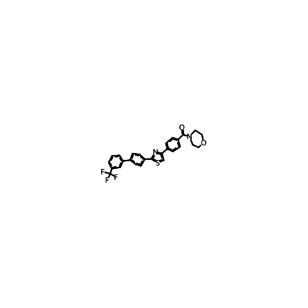 O=C(c1ccc(-c2csc(-c3ccc(-c4cccc(C(F)(F)F)c4)cc3)n2)cc1)N1CCOCC1